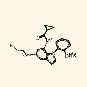 COc1ccccc1-n1ccc2cc(NCCO)cc(NC(=O)C3CC3)c21